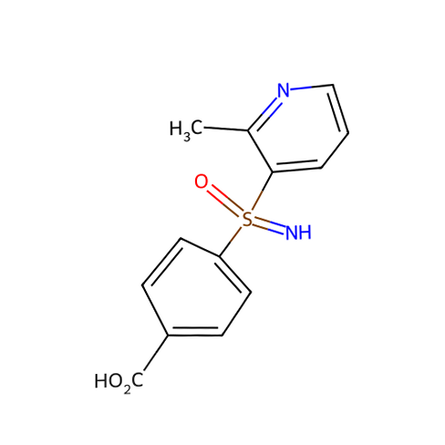 Cc1ncccc1S(=N)(=O)c1ccc(C(=O)O)cc1